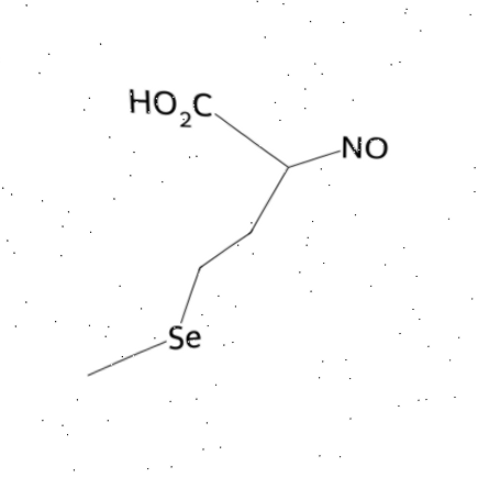 C[Se]CCC(N=O)C(=O)O